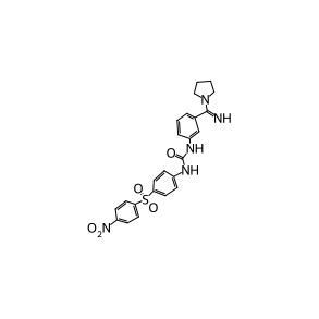 N=C(c1cccc(NC(=O)Nc2ccc(S(=O)(=O)c3ccc([N+](=O)[O-])cc3)cc2)c1)N1CCCC1